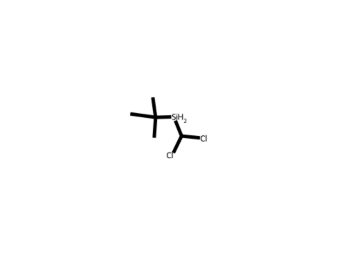 CC(C)(C)[SiH2]C(Cl)Cl